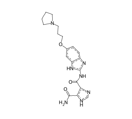 NC(=O)c1[nH]cnc1C(=O)Nc1nc2ccc(OCCCN3CCCC3)cc2[nH]1